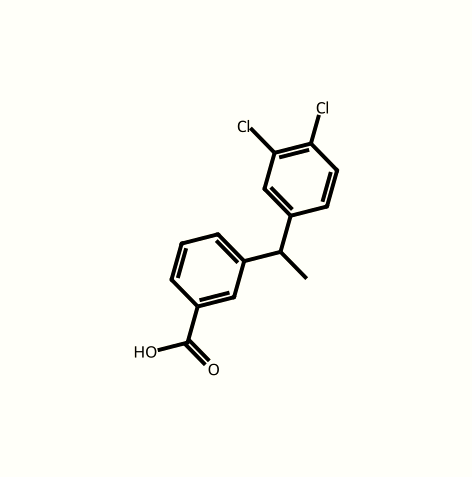 CC(c1cccc(C(=O)O)c1)c1ccc(Cl)c(Cl)c1